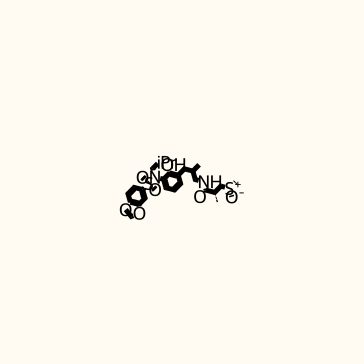 CC(C)CN(c1cccc(CC(C)CNC(=O)[C@@H](C)C[S+](C)[O-])c1O)S(=O)(=O)c1ccc2c(c1)OCO2